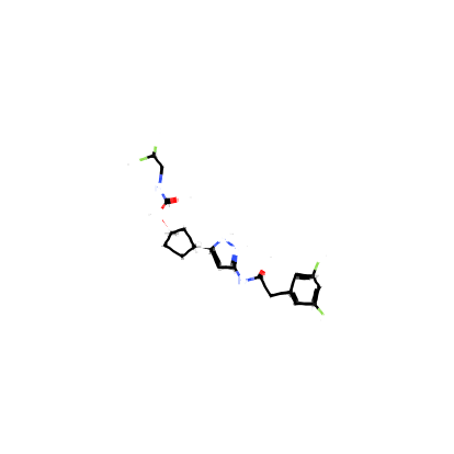 O=C(Cc1cc(F)cc(F)c1)Nc1cc([C@H]2CC[C@@H](OC(=O)NCC(F)F)C2)[nH]n1